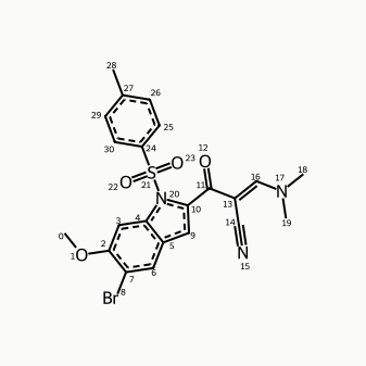 COc1cc2c(cc1Br)cc(C(=O)/C(C#N)=C/N(C)C)n2S(=O)(=O)c1ccc(C)cc1